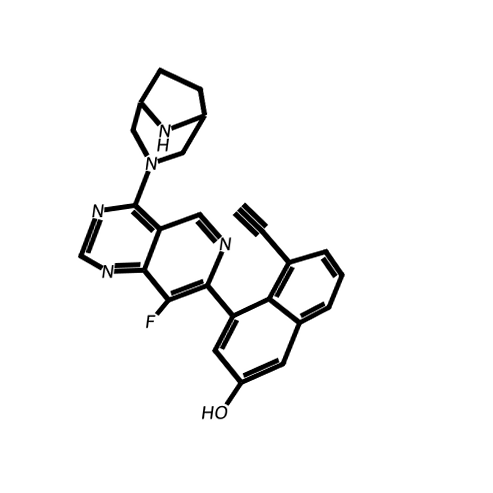 C#Cc1cccc2cc(O)cc(-c3ncc4c(N5CC6CCC(C5)N6)ncnc4c3F)c12